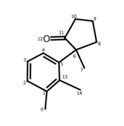 Cc1cccc(C2(C)CCCC2=O)c1C